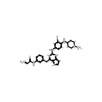 C=CC(=O)Nc1cccc(Cc2nc(Nc3ccc(NC4CCN(C)CC4)c(F)c3)nc3ccsc23)c1